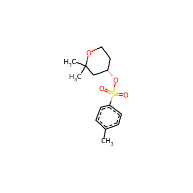 Cc1ccc(S(=O)(=O)O[C@H]2CCOC(C)(C)C2)cc1